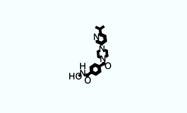 CC(C)c1ccc(N2CCN(C(=O)c3ccc(C(=O)NO)cc3)CC2)cn1